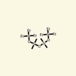 CC[Si](CC)(CC)O[Si](C)(C)O[Si](C)(C)O[Si](CC)(CC)CC